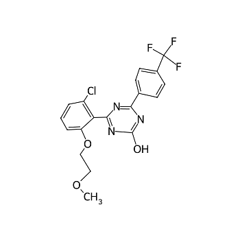 COCCOc1cccc(Cl)c1-c1nc(O)nc(-c2ccc(C(F)(F)F)cc2)n1